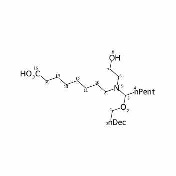 CCCCCCCCCCCOC(CCCCC)N(CCO)CCCCCCCC(=O)O